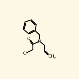 C=CCN(Cc1ccccc1)C(=O)CCl